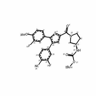 COc1ccc(-c2sc(C(=O)N3CC[C@@H](NC(=O)OC(C)(C)C)C3)cc2-c2ccc(C#N)c(F)c2)cc1F